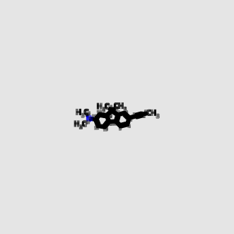 CC#Cc1ccc2c(c1)C(C)(C)c1cc(N(C)C)ccc1-2